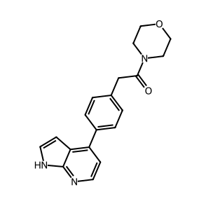 O=C(Cc1ccc(-c2ccnc3[nH]ccc23)cc1)N1CCOCC1